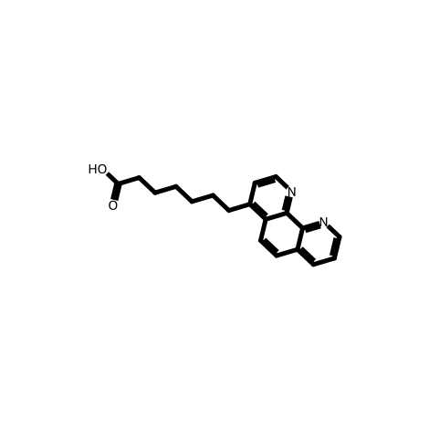 O=C(O)CCCCCCc1ccnc2c1ccc1cccnc12